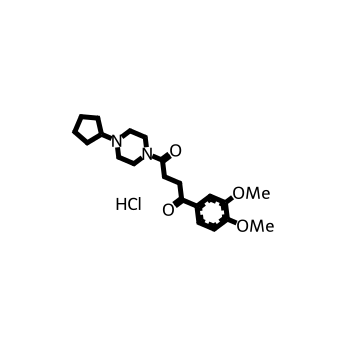 COc1ccc(C(=O)CCC(=O)N2CCN(C3CCCC3)CC2)cc1OC.Cl